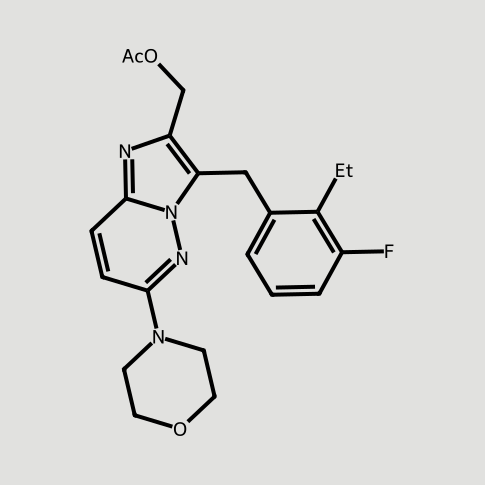 CCc1c(F)cccc1Cc1c(COC(C)=O)nc2ccc(N3CCOCC3)nn12